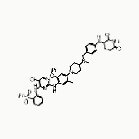 Cc1cc(Nc2ncc(Cl)c(Nc3ccccc3S(=O)(=O)C(C)C)n2)c(OC(C)C)cc1N1CCC(N(C)Cc2ccc(NC3CCC(=O)NC3=O)cc2)CC1